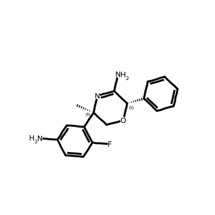 C[C@@]1(c2cc(N)ccc2F)CO[C@@H](c2ccccc2)C(N)=N1